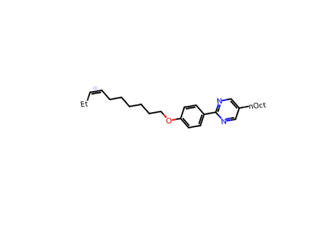 CC/C=C\CCCCCCOc1ccc(-c2ncc(CCCCCCCC)cn2)cc1